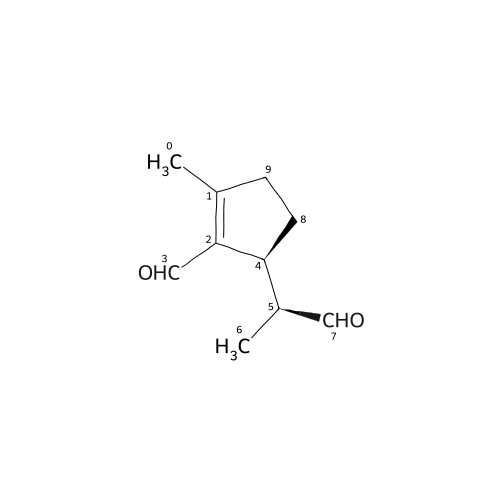 CC1=C(C=O)[C@H]([C@H](C)C=O)CC1